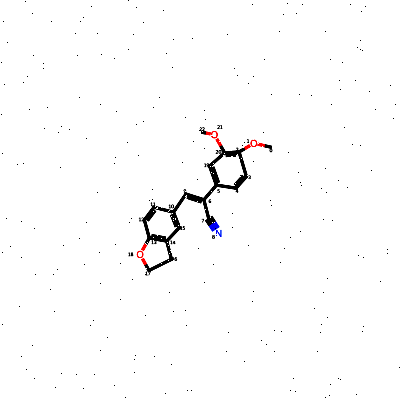 COc1ccc(C(C#N)=Cc2ccc3c(c2)CCO3)cc1OC